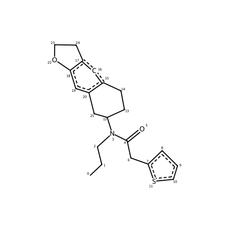 CCCN(C(=O)Cc1cccs1)C1CCc2cc3c(cc2C1)OCC3